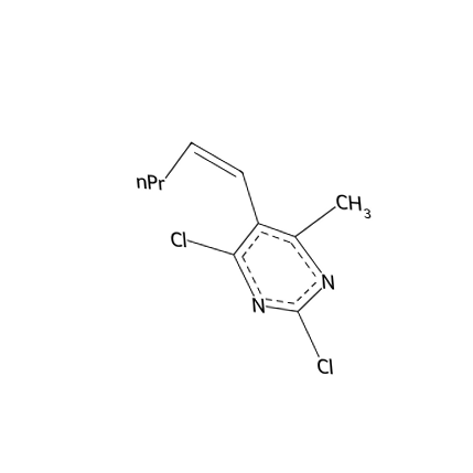 CCC/C=C\c1c(C)nc(Cl)nc1Cl